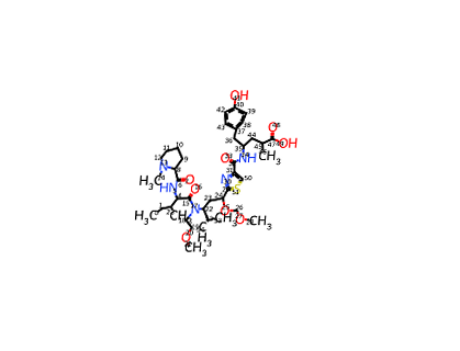 CCC(C)C(NC(=O)C1CCCCN1C)C(=O)N(CCOC)C(CC(OCOC)c1nc(C(=O)NC(Cc2ccc(O)cc2)CC(C)C(=O)O)cs1)C(C)C